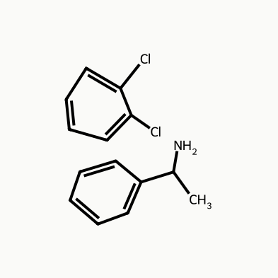 CC(N)c1ccccc1.Clc1ccccc1Cl